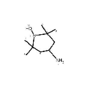 CC1(C)CC(N)CC(C)(C)N1O